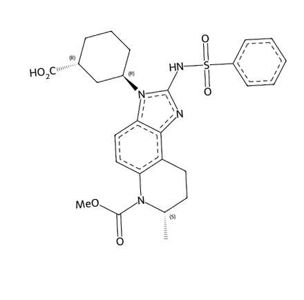 COC(=O)N1c2ccc3c(nc(NS(=O)(=O)c4ccccc4)n3[C@@H]3CCC[C@@H](C(=O)O)C3)c2CC[C@@H]1C